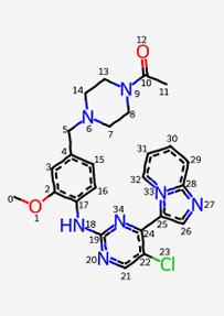 COc1cc(CN2CCN(C(C)=O)CC2)ccc1Nc1ncc(Cl)c(-c2cnc3ccccn23)n1